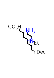 CCCCCCCCCCCCCCCCCC(=O)O.CCNCCN